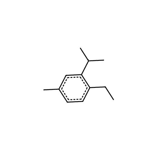 CCc1ccc(C)cc1[C](C)C